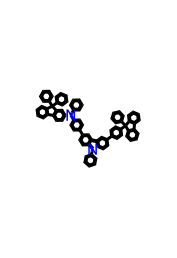 c1ccc(N(c2ccc(-c3ccc4c(c3)c3cc(-c5ccc(C6(c7ccccc7)c7ccccc7-c7ccccc76)cc5)ccc3n4-c3ccccc3)cc2)c2ccc3c(c2)C(c2ccccc2)(c2ccccc2)c2ccccc2-3)cc1